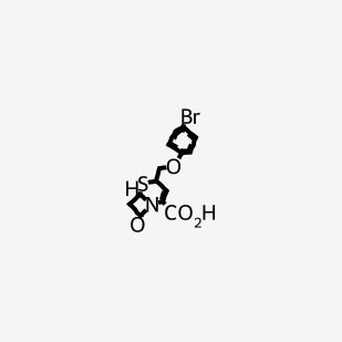 O=C(O)C1=CC(COc2ccc(Br)cc2)S[C@@H]2CC(=O)N12